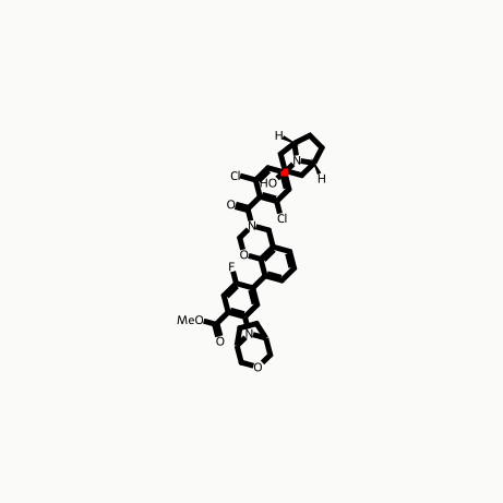 COC(=O)c1cc(F)c(-c2cccc3c2OCN(C(=O)c2c(Cl)cc(N4[C@@H]5CC[C@H]4CC(O)C5)cc2Cl)C3)cc1N1C2CCC1COC2